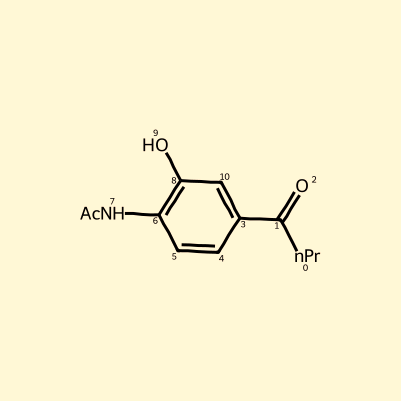 CCCC(=O)c1ccc(NC(C)=O)c(O)c1